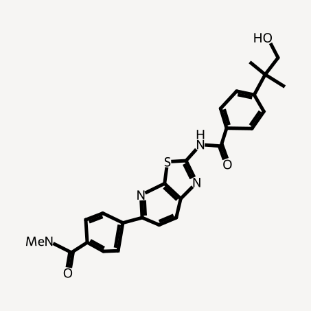 CNC(=O)c1ccc(-c2ccc3nc(NC(=O)c4ccc(C(C)(C)CO)cc4)sc3n2)cc1